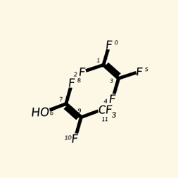 FC(F)=C(F)F.OC(F)=C(F)C(F)(F)F